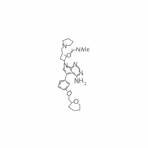 CNC(=O)[C@H]1CCCN1CC1CC(n2cc(-c3cccc(OCC4CCCCO4)c3)c3c(N)ncnc32)C1